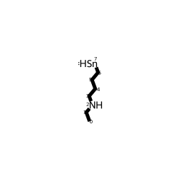 CCNCCC[CH2][SnH]